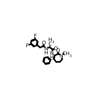 C[C@H](NC(=O)Cc1cc(F)cc(F)c1)C(=O)N[C@@H]1C(=O)N(C)CCC[C@@H]1c1ccccc1